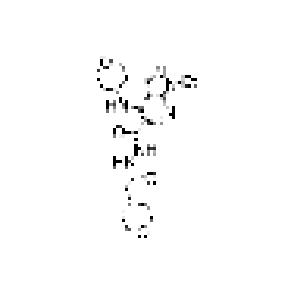 CCn1ncc2c(NC3CCOCC3)c(C(=O)NNC(=O)CC3CCOCC3)cnc21